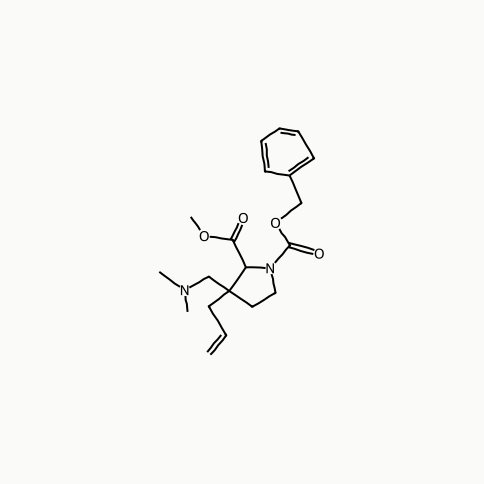 C=CCC1(CN(C)C)CCN(C(=O)OCc2ccccc2)C1C(=O)OC